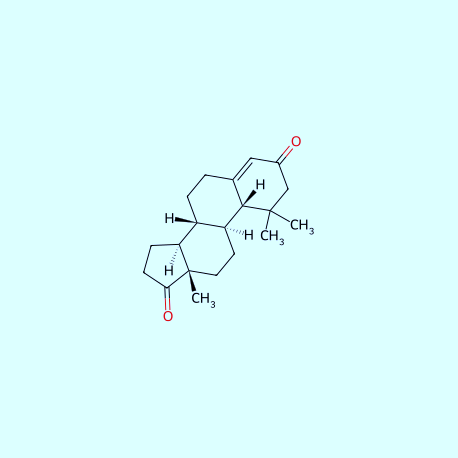 CC1(C)CC(=O)C=C2CC[C@@H]3[C@H](CC[C@]4(C)C(=O)CC[C@@H]34)[C@H]21